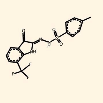 Cc1ccc(S(=O)(=O)NN=C2Nc3c(cccc3C(F)(F)F)C2=O)cc1